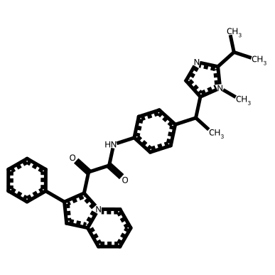 CC(C)c1ncc(C(C)c2ccc(NC(=O)C(=O)c3c(-c4ccccc4)cc4ccccn34)cc2)n1C